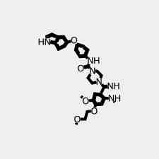 CNc1cc(OCCOC)c(OC)cc1C(=N)N1CCN(C(=O)Nc2ccc(Oc3ccc4[nH]ccc4c3)cc2)CC1